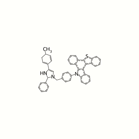 CC1C=CC(C2=CN(Cc3ccc(-n4c5ccccc5c5c6c7ccccc7sc6c6ccccc6c54)cc3)C(c3ccccc3)N2)=CC1